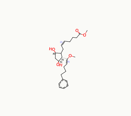 COC(=O)CCC/C=C\CC1[C@H](O)C[C@H](O)[C@H]1/C(=C\CCCc1ccccc1)OC